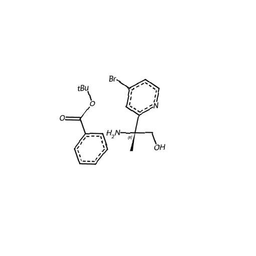 CC(C)(C)OC(=O)c1ccccc1.C[C@](N)(CO)c1cc(Br)ccn1